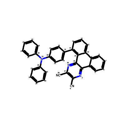 N#Cc1nc2c3ccccc3c3cccc(-c4ccc(N(c5ccccc5)c5ccccc5)cc4)c3c2nc1C#N